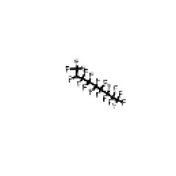 F[C](C(F)(F)F)C(F)(F)C(F)(F)C(F)(F)C(F)(F)C(F)(F)C(F)(F)C(F)(F)F